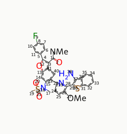 CNC(=O)c1c(-c2ccc(F)cc2)oc2cc(N(C)S(C)(=O)=O)c(-c3ccc(OC)c(-c4sc5ccccc5c4N)n3)cc12